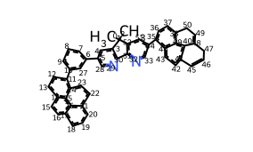 CC1(C)c2cc(-c3cccc(-c4ccc5ccc6cccc7ccc4c5c67)c3)cnc2-c2ncc(-c3ccc4c5c6c(ccc35)C=CCC6=CC4)cc21